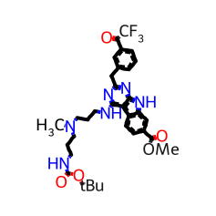 COC(=O)c1ccc2c(c1)[nH]c1nc(Cc3cccc(C(=O)C(F)(F)F)c3)nc(NCCCN(C)CCCNC(=O)OC(C)(C)C)c12